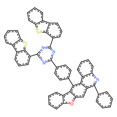 c1ccc(-c2nc3ccccc3c3c(-c4ccc(-c5nc(-c6cccc7c6sc6ccccc67)nc(-c6cccc7c6sc6ccccc67)n5)cc4)c4c(cc23)oc2ccccc24)cc1